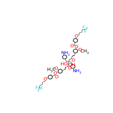 COc1cc(/C=C/C(=O)CC(Cc2ccc(N)cc2)(Cc2ccc(N)cc2)C(O)(O)C(=O)/C=C/c2ccc(OC(=O)c3ccc(OCCCCC(F)(F)F)cc3)c(OC)c2)ccc1OC(=O)c1ccc(OCCCCC(F)(F)F)cc1